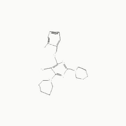 Nc1c(NCc2ccccc2Cl)nc(N2CCCCC2)nc1N1CCCCC1